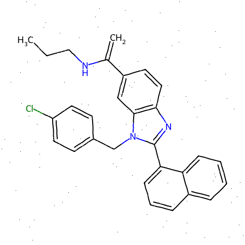 C=C(NCCC)c1ccc2nc(-c3cccc4ccccc34)n(Cc3ccc(Cl)cc3)c2c1